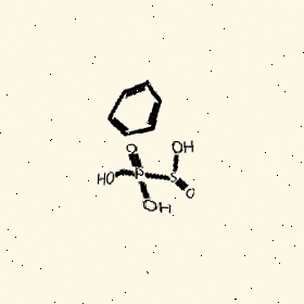 O=S(O)P(=O)(O)O.c1ccccc1